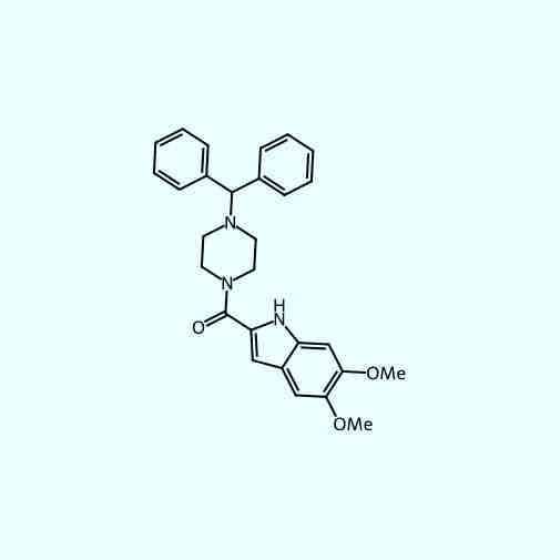 COc1cc2cc(C(=O)N3CCN(C(c4ccccc4)c4ccccc4)CC3)[nH]c2cc1OC